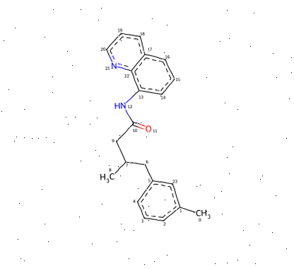 Cc1cccc(CC(C)CC(=O)Nc2cccc3cccnc23)c1